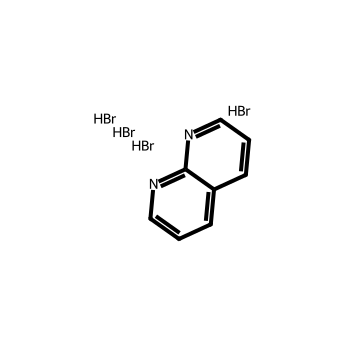 Br.Br.Br.Br.c1cnc2ncccc2c1